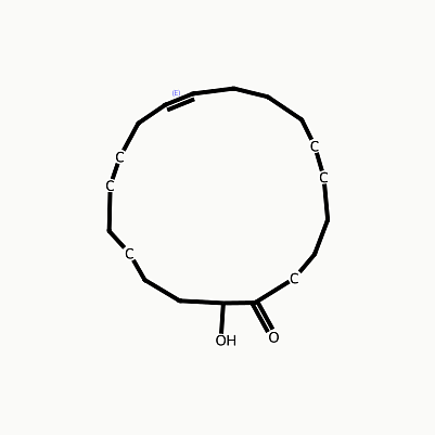 O=C1CCCCCCCC/C=C/CCCCCCCC1O